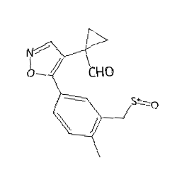 Cc1ccc(-c2oncc2C2(C=O)CC2)cc1C[S+]=O